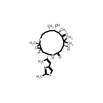 CC(=Cc1csc(C)n1)[C@@H]1C[C@@H]2O[C@]2(C)CCC[C@H](C)[C@H](O)[C@@H](C)C(=O)C(C)(C)[C@@H](O)CC(=O)N1